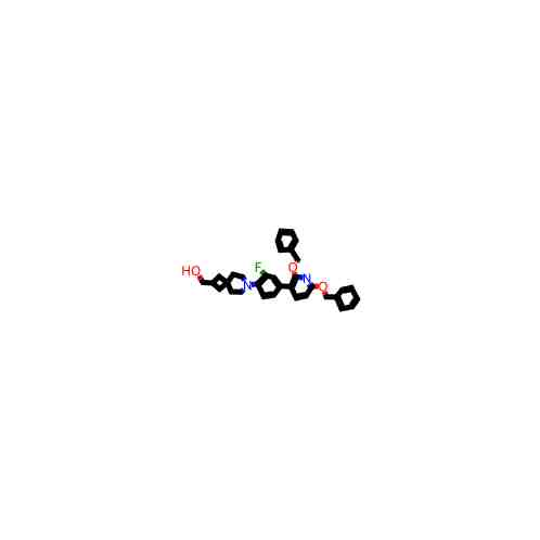 OCC1CC2(CCN(c3ccc(-c4ccc(OCc5ccccc5)nc4OCc4ccccc4)cc3F)CC2)C1